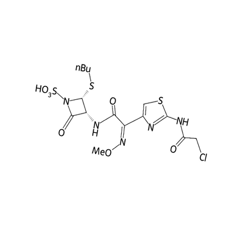 CCCCS[C@@H]1[C@H](NC(=O)C(=NOC)c2csc(NC(=O)CCl)n2)C(=O)N1S(=O)(=O)O